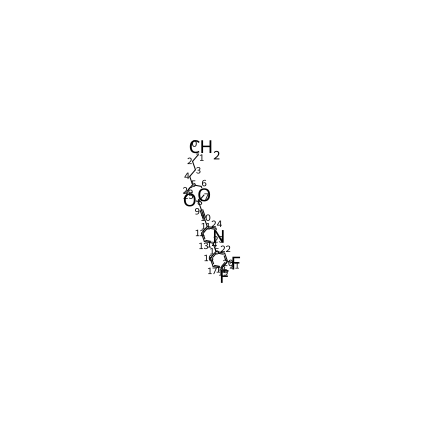 C=CCCCC1COC(C#Cc2ccc(-c3ccc(F)c(F)c3)nc2)OC1